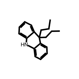 CCCC1(CCC)c2ccccc2Nc2ccccc21